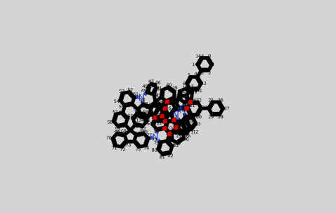 c1ccc(-c2ccc(-c3ccc(N(c4ccccc4-c4cccc(-c5ccccc5)c4)c4cccc5c4-c4ccccc4C54c5ccccc5-n5c6cccc(-c7cccc(C8(c9ccccc9)c9ccccc9-c9ccc(N(c%10ccccc%10-c%10cccc(-c%11ccccc%11)c%10)c%10cccc%11c%10-c%10ccccc%10C%11%10c%11ccccc%11-n%11c%12ccccc%12c%12cccc%10c%12%11)cc98)c7)c6c6cccc4c65)cc3)cc2)cc1